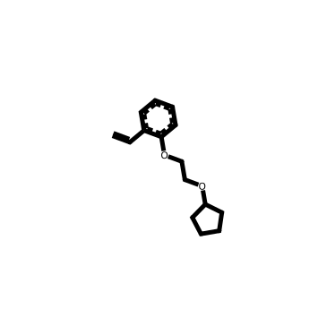 C=Cc1ccccc1OCCOC1CCCC1